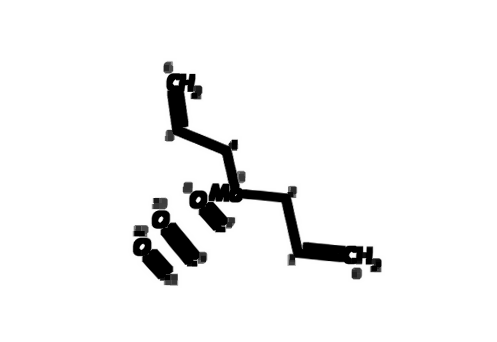 C=C[CH2][Mo][CH2]C=C.[C]=O.[C]=O.[C]=O